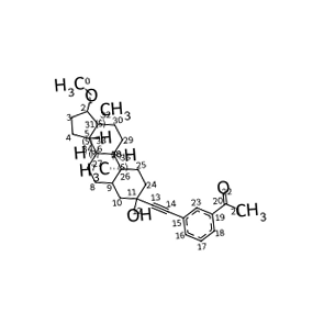 COC1CC[C@H]2[C@@H]3CCC4CC(O)(C#Cc5cccc(C(C)=O)c5)CC[C@]4(C)[C@@H]3CC[C@]12C